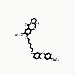 COc1ccc(Oc2cc(OCCCCCOc3cc4c(cc3OC)C(=O)N3CCC[C@H]3C=N4)ccc2F)cc1